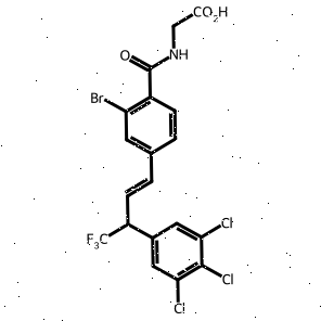 O=C(O)CNC(=O)c1ccc(/C=C/C(c2cc(Cl)c(Cl)c(Cl)c2)C(F)(F)F)cc1Br